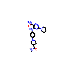 CN(C)C(=O)C1CCN(c2ccc(Nc3nc(N4CCCCC4)nnc3C(N)=O)cc2)CC1